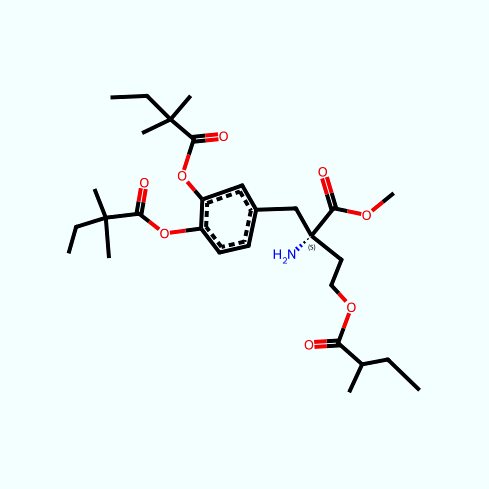 CCC(C)C(=O)OCC[C@@](N)(Cc1ccc(OC(=O)C(C)(C)CC)c(OC(=O)C(C)(C)CC)c1)C(=O)OC